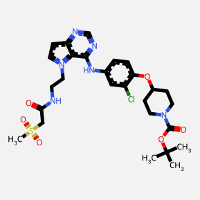 CC(C)(C)OC(=O)N1CCC(Oc2ccc(Nc3ncnc4ccn(CCNC(=O)CS(C)(=O)=O)c34)cc2Cl)CC1